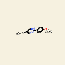 CCCCCCCCCCOc1ccc(-c2ncc(CCCCCCCC)cn2)cc1